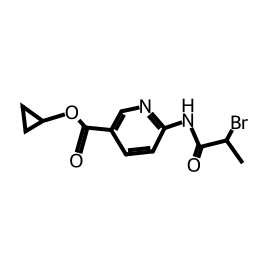 CC(Br)C(=O)Nc1ccc(C(=O)OC2CC2)cn1